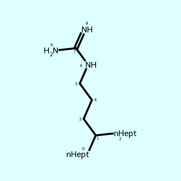 CCCCCCCC(CCCCCCC)CCCNC(=N)N